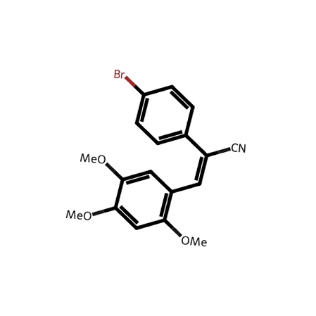 COc1cc(OC)c(OC)cc1C=C(C#N)c1ccc(Br)cc1